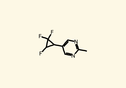 Cc1ncc(C2C(F)C2(F)F)cn1